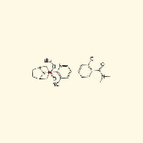 CN(C)C(=O)c1ccc(-c2cnc(N3CC4CCC(C3)N4C(=O)OC(C)(C)C)c(C#N)c2)cc1Cl